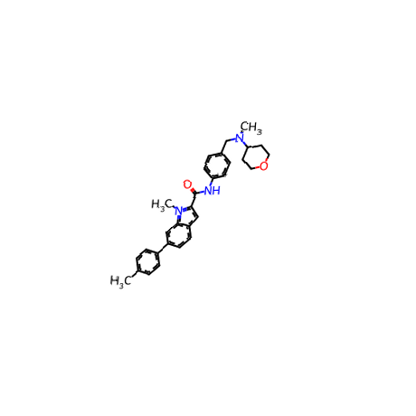 Cc1ccc(-c2ccc3cc(C(=O)Nc4ccc(CN(C)C5CCOCC5)cc4)n(C)c3c2)cc1